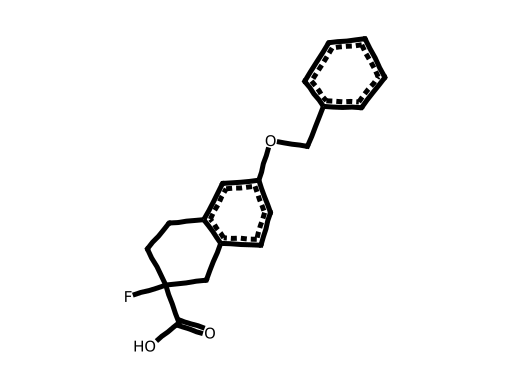 O=C(O)C1(F)CCc2cc(OCc3ccccc3)ccc2C1